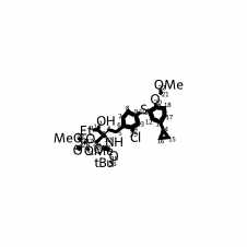 CCC(O)[C@@](CCc1ccc(Sc2cc(C3CC3)ccc2OCOC)cc1Cl)(COP(=O)(OC)OC)NC(=O)OC(C)(C)C